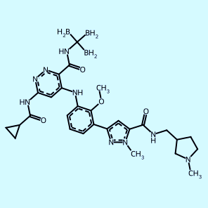 BC(B)(B)NC(=O)c1nnc(NC(=O)C2CC2)cc1Nc1cccc(-c2cc(C(=O)NCC3CCN(C)C3)n(C)n2)c1OC